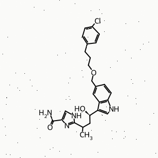 CC(C[C@@H](O)c1c[nH]c2ccc(COCCCc3ccc(Cl)cc3)cc12)c1nc(C(N)=O)c[nH]1